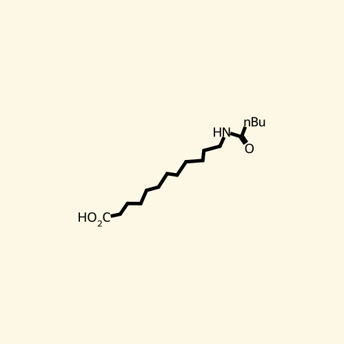 CCCCC(=O)NCCCCCCCCCCCC(=O)O